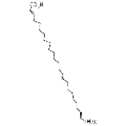 CCCCCCC=CCCCCCCCCCCCCCCCCCCCC=CC(=O)O